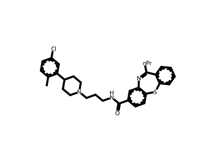 CCCC1=Nc2cc(C(=O)NCCCN3CCC(c4cc(Cl)ccc4C)CC3)ccc2Sc2ccccc21